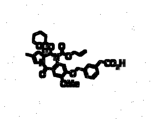 C=CCOC(=O)N1c2cc(OCc3cccc(CC(=O)O)c3)c(OC)cc2C(=O)N2C=C(C)C[C@H]2C1OC1CCCCO1